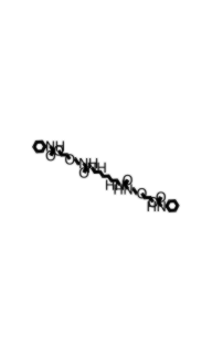 O=C(NCCCCCCNC(=O)NCCOCCOC(=O)NC1CCCCC1)NCCOCCOC(=O)NC1CCCCC1